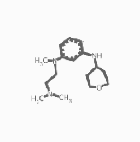 CN(C)CCN(C)c1cc[c]c(NC2CCOCC2)c1